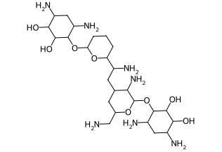 NCC1CC(CC(N)C2CCCC(OC3C(N)CC(N)C(O)C3O)O2)C(N)C(OC2C(N)CC(N)C(O)C2O)O1